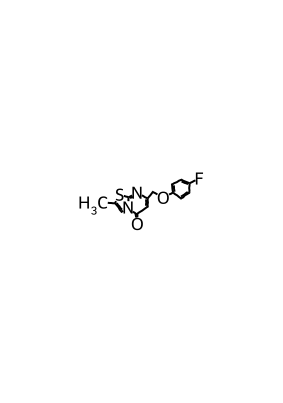 Cc1cn2c(=O)cc(COc3ccc(F)cc3)nc2s1